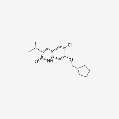 CC(C)c1cc2cc(Cl)c(OCC3CCCC3)cc2[nH]c1=O